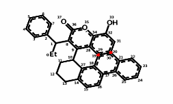 CCC(c1ccccc1)c1c(C2CCCc3ccc4c(ccc5ccccc54)c32)c2cccc(O)c2oc1=O